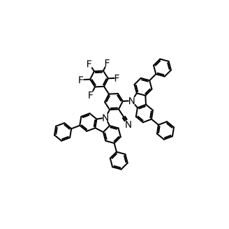 N#Cc1c(-n2c3ccc(-c4ccccc4)cc3c3cc(-c4ccccc4)ccc32)cc(-c2c(F)c(F)c(F)c(F)c2F)cc1-n1c2ccc(-c3ccccc3)cc2c2cc(-c3ccccc3)ccc21